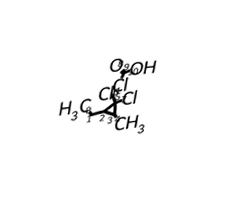 CCC1C(C)C1(Cl)Cl.O=C(O)Cl